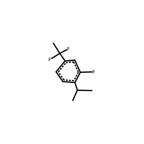 CC(C)c1ccc(C(C)(F)F)cc1F